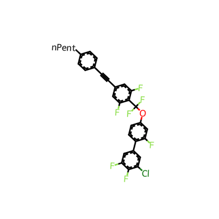 CCCCCc1ccc(C#Cc2cc(F)c(C(F)(F)Oc3ccc(-c4cc(F)c(F)c(Cl)c4)c(F)c3)c(F)c2)cc1